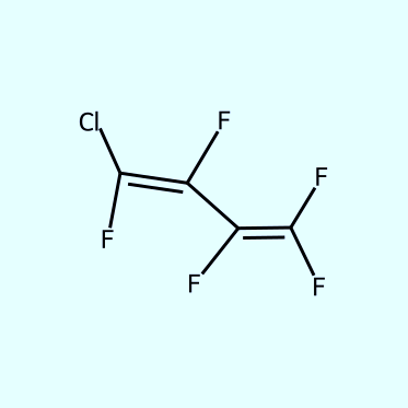 FC(F)=C(F)/C(F)=C(\F)Cl